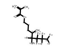 C=C(C)C(=O)OCCCC(C)C(F)(CCC)C(F)(F)C(F)(F)[C](F)F